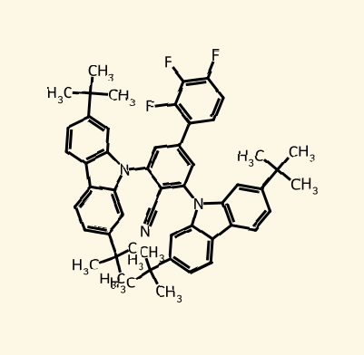 CC(C)(C)c1ccc2c3ccc(C(C)(C)C)cc3n(-c3cc(-c4ccc(F)c(F)c4F)cc(-n4c5cc(C(C)(C)C)ccc5c5ccc(C(C)(C)C)cc54)c3C#N)c2c1